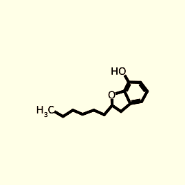 CCCCCCC1Cc2cccc(O)c2O1